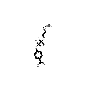 CCCCOCCOC(F)(F)C(F)(F)Oc1ccc(C(=O)Cl)cc1